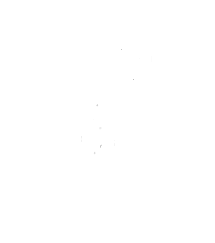 CO[C@H]1C[C@H](O[C@H]2CC[C@]3(C)C4CC[C@]5(C)[C@@H](C6=CC(=O)OC6)[C@@H](OC(C)=O)C[C@]5(O)[C@@H]4CC[C@@H]3C2)O[C@@H](C)[C@@H]1O